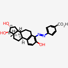 C[C@]12CC[C@@H]3c4ccc(O)c(N=Nc5ccc(C(=O)O)cc5)c4CC[C@H]3[C@@H]1C[C@@H](O)[C@@H]2O